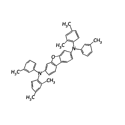 Cc1cccc(N(c2ccc3c(c2)oc2cc(N(c4cccc(C)c4)c4ccc(C)cc4C)ccc23)c2ccc(C)cc2C)c1